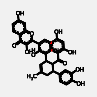 CC1=CC(c2c(O)ccc(-c3oc4cc(O)ccc4c(=O)c3O)c2O)C(C(=O)c2ccc(O)cc2O)C(c2ccc(O)c(O)c2)C1